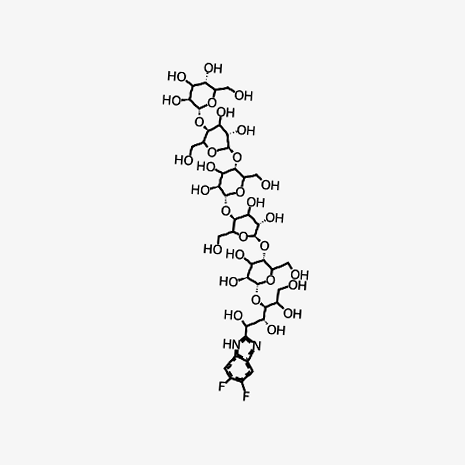 OCC1O[C@H](O[C@@H]2C(CO)O[C@H](O[C@@H]3C(CO)O[C@H](O[C@@H]4C(CO)O[C@H](O[C@@H]5C(CO)O[C@H](O[C@@H](C(O)CO)[C@H](O)C(O)c6nc7cc(F)c(F)cc7[nH]6)[C@@H](O)C5O)[C@@H](O)C4O)[C@@H](O)C3O)[C@@H](O)C2O)[C@@H](O)C(O)[C@@H]1O